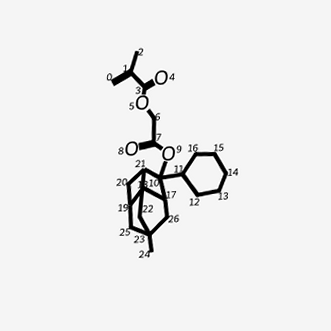 C=C(C)C(=O)OCC(=O)OC1(C2CCCCC2)C2CC3CC1CC(C)(C3)C2